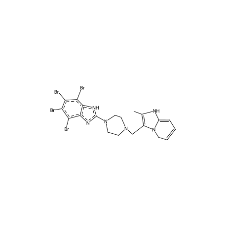 CC1=C(CN2CCN(c3nc4c(Br)c(Br)c(Br)c(Br)c4[nH]3)CC2)N2CC=CC=C2N1